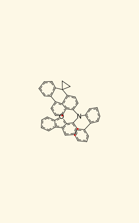 c1ccc(-c2ccccc2N(c2ccc3c4c(cccc24)-c2ccccc2C32CC2)c2cccc3c2oc2ccccc23)cc1